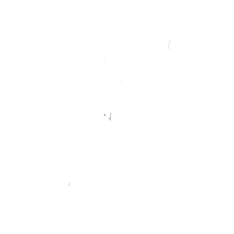 O=C(C(F)F)N1CCOCC1